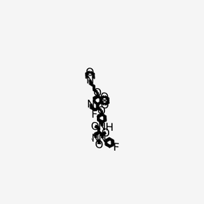 Cn1cc(C(=O)Nc2ccc(Oc3ccnc4cc(OCCCN5CCOCC5)c5c(c34)OCCO5)c(F)c2)c(=O)n(-c2ccc(F)cc2)c1=O